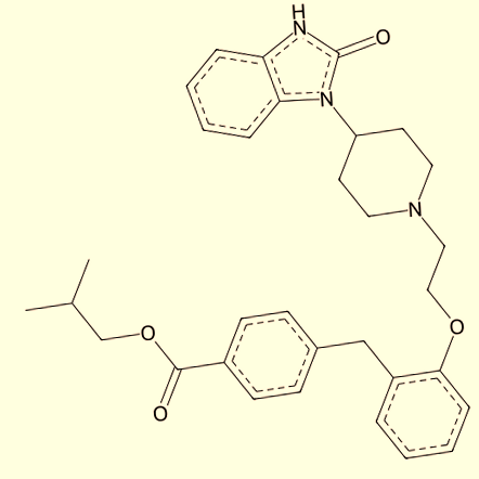 CC(C)COC(=O)c1ccc(Cc2ccccc2OCCN2CCC(n3c(=O)[nH]c4ccccc43)CC2)cc1